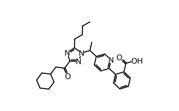 CCCCc1nc(C(=O)CC2CCCCC2)nn1C(C)c1ccc(-c2ccccc2C(=O)O)nc1